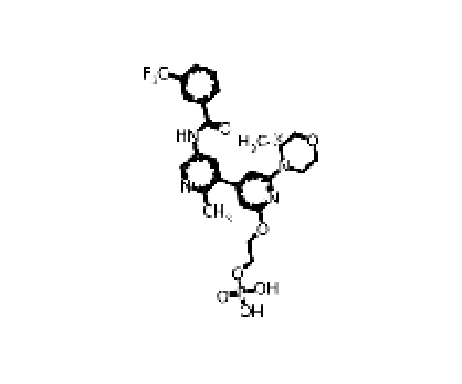 Cc1ncc(NC(=O)c2cccc(C(F)(F)F)c2)cc1-c1cc(OCCOP(=O)(O)O)nc(N2CCOC[C@H]2C)c1